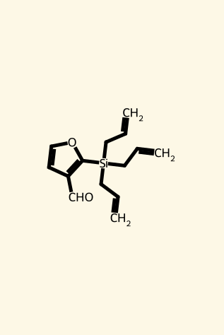 C=CC[Si](CC=C)(CC=C)c1occc1C=O